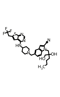 CCCCC(O)(CO)Cn1c(C#N)cc2cc(CN3CCC(Nc4ncnc5sc(CC(F)(F)F)cc45)CC3)ccc21